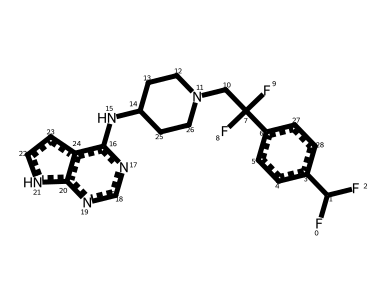 FC(F)c1ccc(C(F)(F)CN2CCC(Nc3ncnc4[nH]ccc34)CC2)cc1